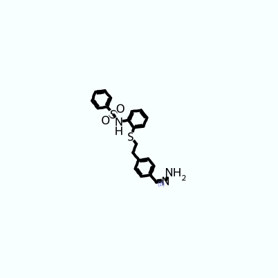 N/N=C\c1ccc(CCSc2ccccc2NS(=O)(=O)c2ccccc2)cc1